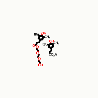 Cc1cc(CCC(=O)O)cc(C(C)(C)C)c1O.Cc1cc(CCC(=O)OCCOCCOCCO)cc(C(C)(C)C)c1O